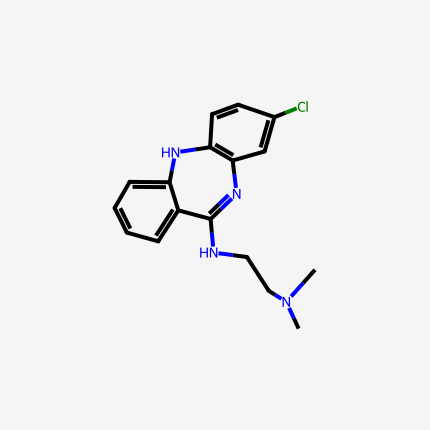 CN(C)CCNC1=Nc2cc(Cl)ccc2Nc2ccccc21